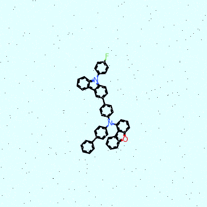 Fc1ccc(-n2c3ccccc3c3cc(-c4ccc(N(c5ccc(-c6ccccc6)cc5)c5cccc6oc7ccccc7c56)cc4)ccc32)cc1